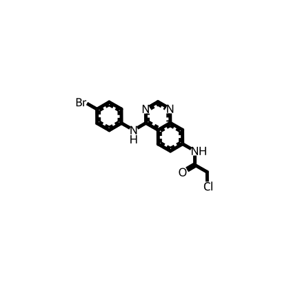 O=C(CCl)Nc1ccc2c(Nc3ccc(Br)cc3)ncnc2c1